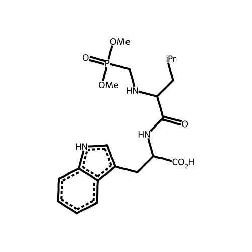 COP(=O)(CNC(CC(C)C)C(=O)NC(Cc1c[nH]c2ccccc12)C(=O)O)OC